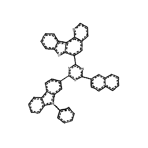 c1ccc(-n2c3ccccc3c3ccc(-c4nc(-c5ccc6ccccc6c5)nc(-c5cc6cccnc6c6c5oc5ccccc56)n4)cc32)cc1